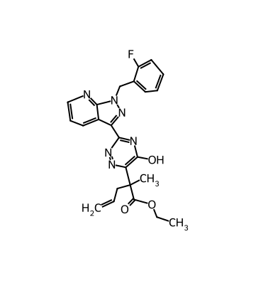 C=CCC(C)(C(=O)OCC)c1nnc(-c2nn(Cc3ccccc3F)c3ncccc23)nc1O